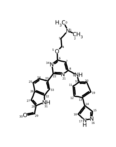 CN(C)CCOc1cc(Nc2ccc(-c3cn[nH]c3)cc2)nc(-c2ccc3cc(C=O)[nH]c3c2)n1